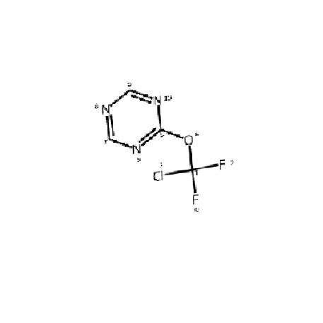 FC(F)(Cl)Oc1ncncn1